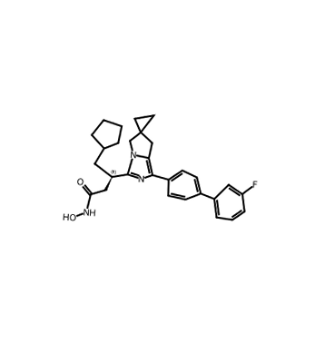 O=C(C[C@@H](CC1CCCC1)c1nc(-c2ccc(-c3cccc(F)c3)cc2)c2n1CC1(CC1)C2)NO